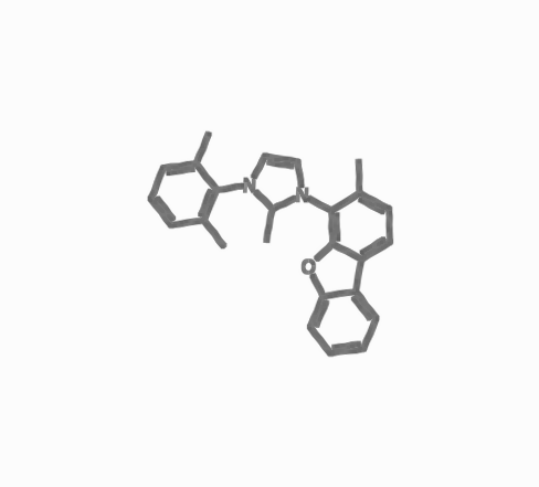 Cc1cccc(C)c1N1C=CN(c2c(C)ccc3c2oc2ccccc23)C1C